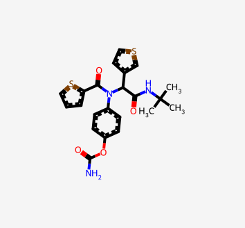 CC(C)(C)NC(=O)C(c1ccsc1)N(C(=O)c1cccs1)c1ccc(OC(N)=O)cc1